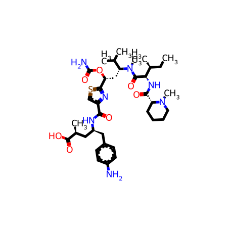 CC[C@H](C)[C@H](NC(=O)[C@H]1CCCCN1C)C(=O)N(C)[C@H](C[C@@H](OC(N)=O)c1nc(C(=O)N[C@@H](Cc2ccc(N)cc2)C[C@H](C)C(=O)O)cs1)C(C)C